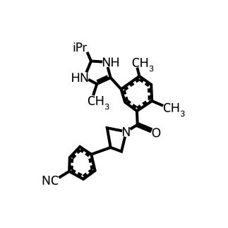 CC1=C(c2cc(C(=O)N3CC(c4ccc(C#N)cc4)C3)c(C)cc2C)NC(C(C)C)N1